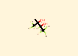 CC(O)(C(F)(F)F)C(O)(F)C(F)(F)F